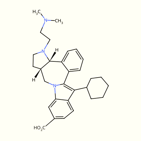 CN(C)CCN1CC[C@H]2Cn3c(c(C4CCCCC4)c4ccc(C(=O)O)cc43)-c3ccccc3[C@H]21